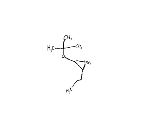 CCC1NC1OC(C)(C)C